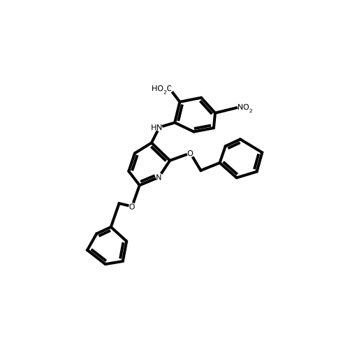 O=C(O)c1cc([N+](=O)[O-])ccc1Nc1ccc(OCc2ccccc2)nc1OCc1ccccc1